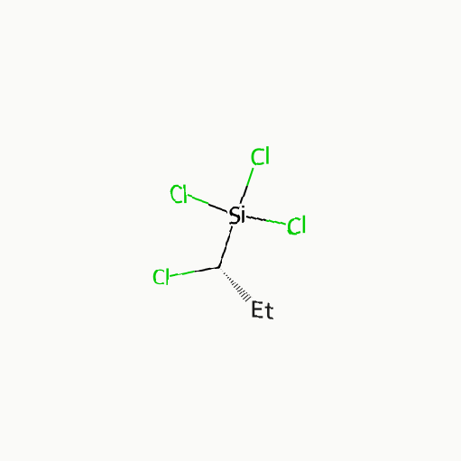 CC[C@H](Cl)[Si](Cl)(Cl)Cl